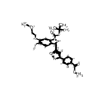 COCCOc1cc2c(cc1F)c(-c1cc(-c3ccc(C(=O)OC)cc3)no1)nn2C(=O)OC(C)(C)C